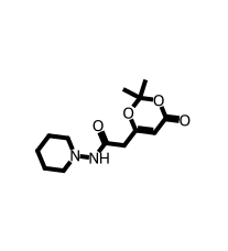 CC1(C)OC(=O)C=C(CC(=O)NN2CCCCC2)O1